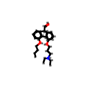 CCCCOc1cccc2c1-c1c(OCCCN(CC)CC)cccc1C2C=O